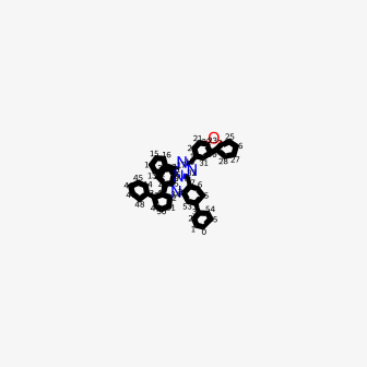 c1ccc(-c2ccc(-c3nc(-c4ccccc4)nc(-c4ccc5oc6ccccc6c5c4)n3)c(-n3c4ccccc4c4c(-c5ccccc5)cccc43)c2)cc1